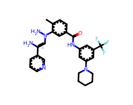 Cc1ccc(C(=O)Nc2cc(N3CCCCC3)cc(C(F)(F)F)c2)cc1N(N)/C=C(\N)c1cccnc1